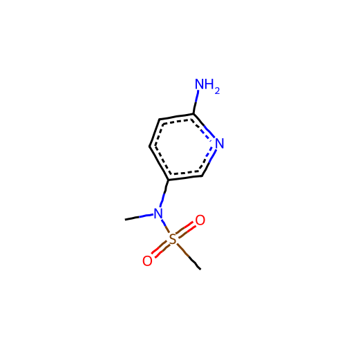 CN(c1ccc(N)nc1)S(C)(=O)=O